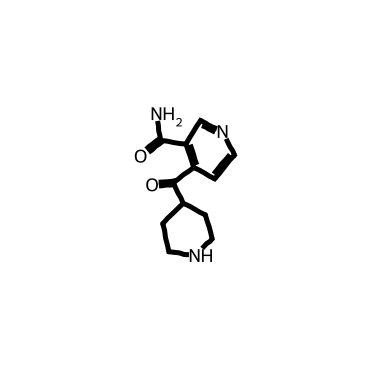 NC(=O)c1cnccc1C(=O)C1CCNCC1